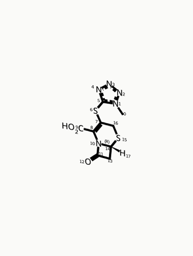 Cn1nnnc1SC1=C(C(=O)O)N2C(=O)C[C@H]2SC1